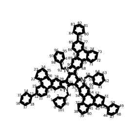 c1ccc(Cn2c3cc4c5ccc(-c6ccccc6)cc5c5ccccc5c4cc3c3c2c2c4cc5c6ccccc6c6cc(-c7ccccc7)ccc6c5cc4n(Cc4ccccc4)c2c2c4cc5c6ccccc6c6cc(-c7ccccc7)ccc6c5cc4n(Cc4ccccc4)c32)cc1